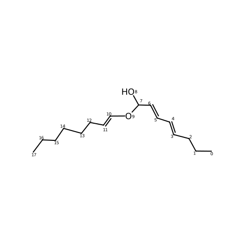 CCCC=CC=CC(O)OC=CCCCCCC